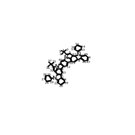 CC(C)(C)c1cc2c3c(cc4c5cc6c7cc8c9ccccc9n(-c9ccccc9)c8c8cc(C(C)(C)C)n(c6cc5n1c42)c78)c1ccccc1n3-c1ccccc1